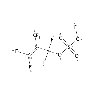 O=S(=O)(OF)OC(F)(F)C(=C(F)F)C(F)(F)F